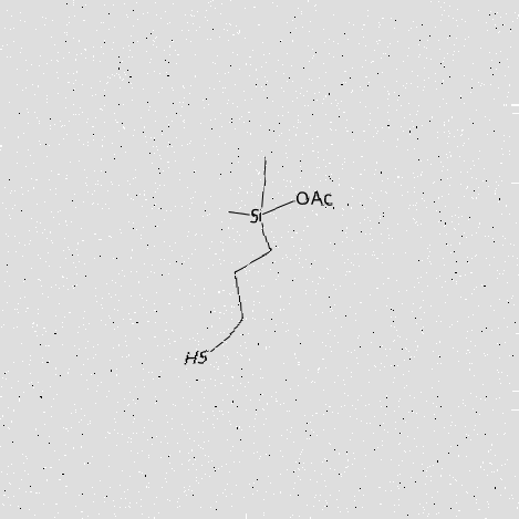 CC(=O)O[Si](C)(C)CCCS